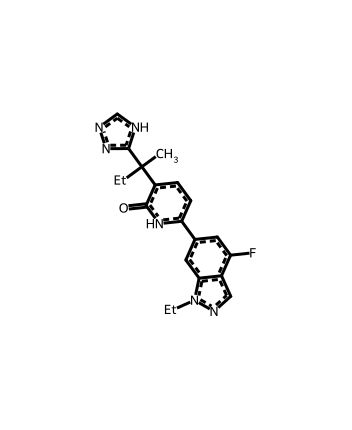 CCn1ncc2c(F)cc(-c3ccc(C(C)(CC)c4nnc[nH]4)c(=O)[nH]3)cc21